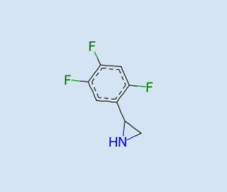 Fc1cc(F)c(C2CN2)cc1F